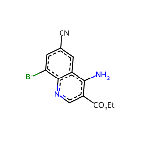 CCOC(=O)c1cnc2c(Br)cc(C#N)cc2c1N